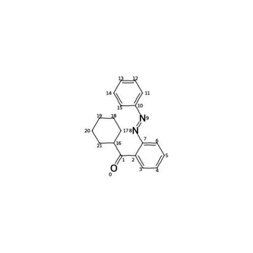 O=C(c1ccccc1N=Nc1ccccc1)C1CCCCC1